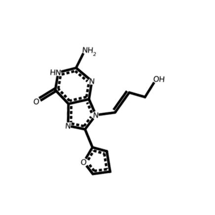 Nc1nc2c(nc(-c3ccco3)n2C=CCO)c(=O)[nH]1